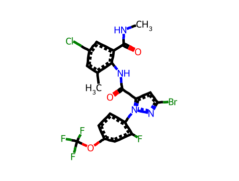 CNC(=O)c1cc(Cl)cc(C)c1NC(=O)c1cc(Br)nn1-c1ccc(OC(F)(F)F)cc1F